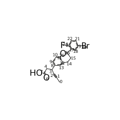 CC#CC(CC(=O)O)c1ccc2c(c1)CCC(c1cc(Br)ccc1F)O2